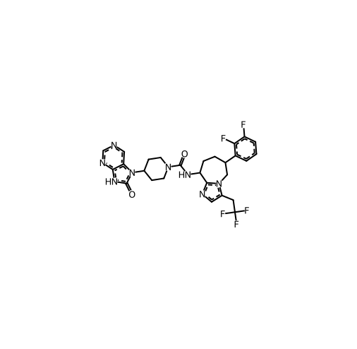 O=C(NC1CCC(c2cccc(F)c2F)Cn2c(CC(F)(F)F)cnc21)N1CCC(n2c(=O)[nH]c3ncncc32)CC1